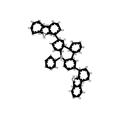 c1ccc(B2c3ccc(-c4cccc5c4oc4ccccc45)cc3-c3ccccc3-c3cc(-c4cccc5c4oc4ccccc45)ccc32)cc1